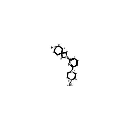 CCN1CCN(c2cccc(N3CC4(CCNCC4)C3)n2)CC1